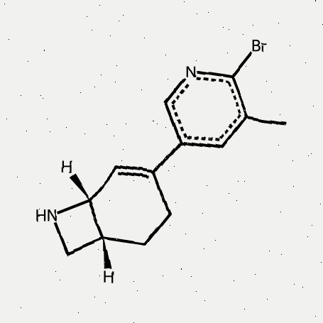 Cc1cc(C2=C[C@H]3NC[C@H]3CC2)cnc1Br